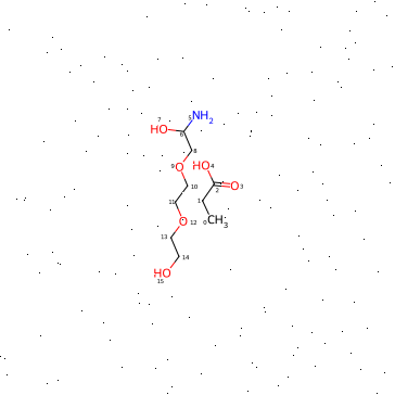 CCC(=O)O.NC(O)COCCOCCO